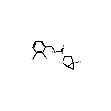 O=C(NCc1cccc(Cl)c1F)[C@@H]1C[C@H]2CC2N1